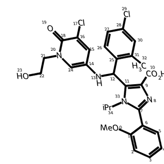 COc1ccccc1-c1nc(C(=O)O)c(C(Nc2cc(Cl)c(=O)n(CCO)c2)c2ccc(Cl)cc2C)n1C(C)C